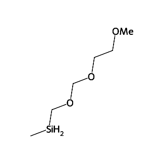 COCCOCOC[SiH2]C